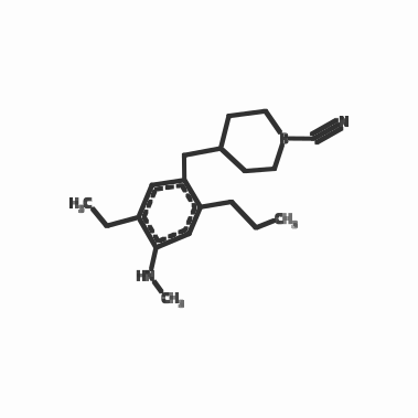 CCCc1cc(NC)c(CC)cc1CC1CCB(C#N)CC1